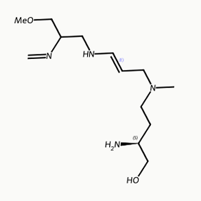 C=NC(CN/C=C/CN(C)CC[C@H](N)CO)COC